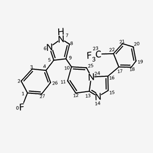 Fc1ccc(-c2n[nH]cc2-c2ccc3ncc(-c4ccccc4C(F)(F)F)n3c2)cc1